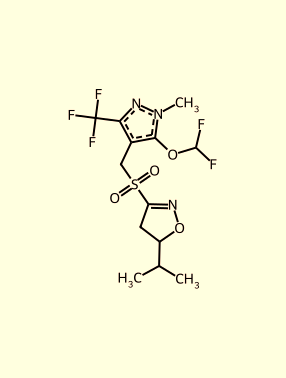 CC(C)C1CC(S(=O)(=O)Cc2c(C(F)(F)F)nn(C)c2OC(F)F)=NO1